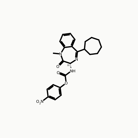 CN1C(=O)[C@@H](NC(=O)Oc2ccc([N+](=O)[O-])cc2)N=C(C2CCCCCC2)c2ccccc21